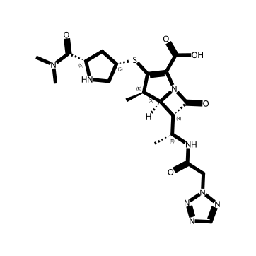 C[C@@H](NC(=O)Cn1ncnn1)[C@H]1C(=O)N2C(C(=O)O)=C(S[C@@H]3CN[C@H](C(=O)N(C)C)C3)[C@H](C)[C@H]12